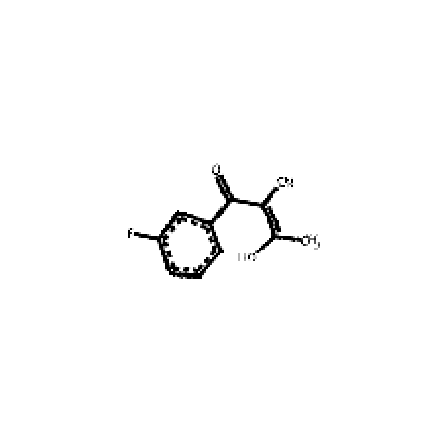 CC(O)=C(C#N)C(=O)c1cccc(F)c1